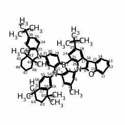 Cc1cc2c3c(c1)-n1c4oc5ccccc5c4c4cc(C(C)(C)C)cc(c41)B3c1ccc(N3c4ccc(C(C)(C)C)cc4C4(C)CCCCC34C)cc1N2c1ccc2c(c1)C(C)(C)CCC2(C)C